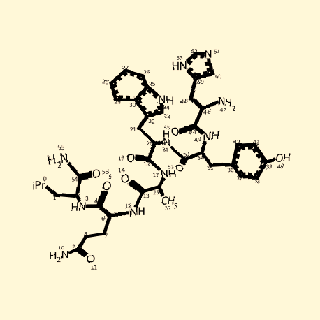 CC(C)CC(NC(=O)C(CCC(N)=O)NC(=O)C(C)NC(=O)C(Cc1c[nH]c2ccccc12)NC(=O)C(Cc1ccc(O)cc1)NC(=O)C(N)Cc1cnc[nH]1)C(N)=O